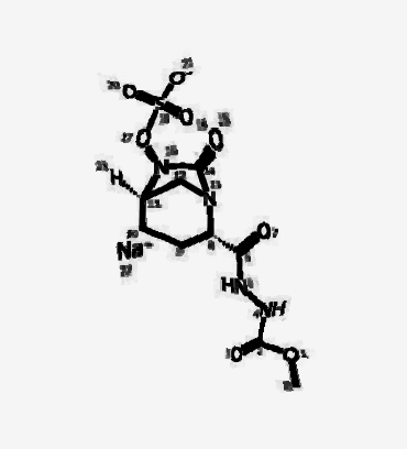 COC(=O)NNC(=O)[C@@H]1CC[C@@H]2CN1C(=O)N2OS(=O)(=O)[O-].[Na+]